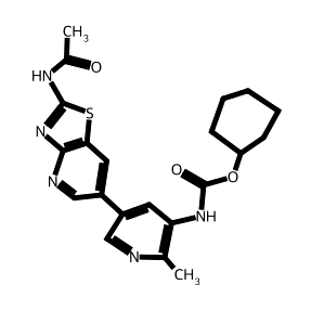 CC(=O)Nc1nc2ncc(-c3cnc(C)c(NC(=O)OC4CCCCC4)c3)cc2s1